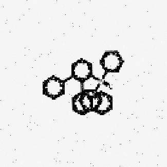 O=P(c1ccccc1)(c1ccccc1)c1cccc(-c2ccccc2)c1-c1cccc2ccccc12